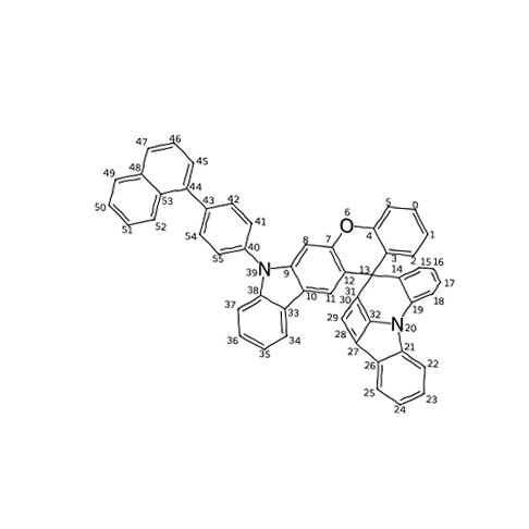 c1ccc2c(c1)Oc1cc3c(cc1C21c2ccccc2-n2c4ccccc4c4cccc1c42)c1ccccc1n3-c1ccc(-c2cccc3ccccc23)cc1